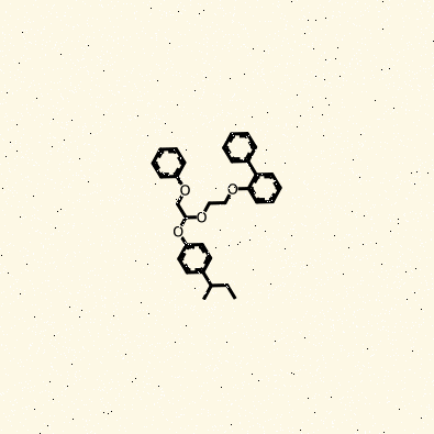 CCC(C)c1ccc(OC(COc2ccccc2)OCCOc2ccccc2-c2ccccc2)cc1